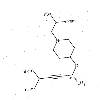 CCCCCCC(C#C[C@@H](C)OC1CCN(CC(CCCC)CCCCC)CC1)CCCCC